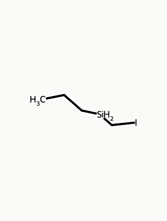 CCC[SiH2]CI